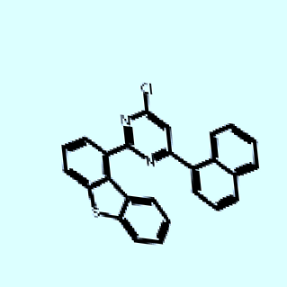 Clc1cc(-c2cccc3ccccc23)nc(-c2cccc3sc4ccccc4c23)n1